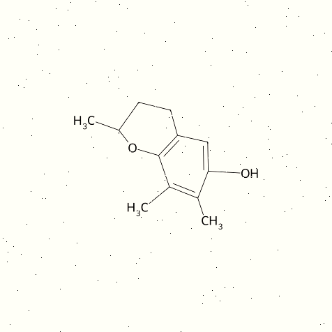 C[C]1CCc2cc(O)c(C)c(C)c2O1